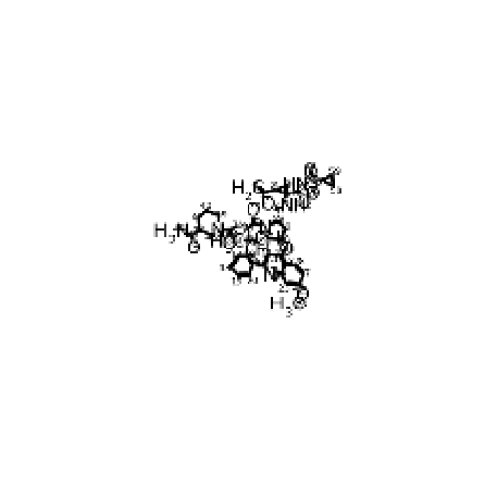 C=CC1CC1(NC(=O)[C@@H]1C[C@@H](Oc2cc(-c3ccccc3)nc3cc(OC)ccc23)CN1C(=O)[C@@H](CC(=O)N1CCCC(C(N)=O)C1)C(C)(C)C)C(=O)NS(=O)(=O)C1CC1